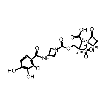 C[C@@H]1CC(=O)N1[C@@H](C(=O)O)[C@](C)(COC(=O)N1CC(NC(=O)c2ccc(O)c(O)c2Cl)C1)[SH](=O)=O